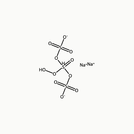 O=S(=O)([O-])O[SH](=O)(OO)OS(=O)(=O)[O-].[Na+].[Na+]